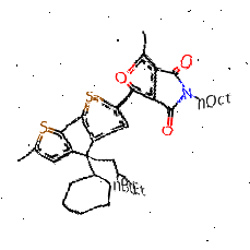 CCCCCCCCN1C(=O)c2c(C)oc(-c3cc4c(s3)-c3sc(C)cc3C4(CC(CC)CCCC)C3CCCCC3)c2C1=O